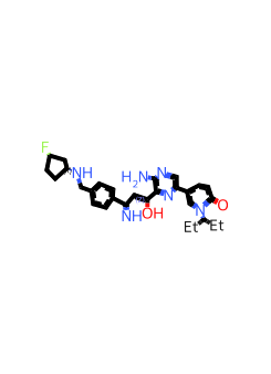 CCC(CC)n1cc(-c2cnc(N)c(/C(O)=C/C(=N)c3ccc(CN[C@@H]4CCC(F)C4)cc3)n2)ccc1=O